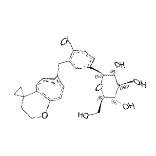 OC[C@H]1O[C@@H](c2ccc(Cl)c(Cc3ccc4c(c3)C3(CCO4)CC3)c2)[C@H](O)[C@@H](O)[C@@H]1O